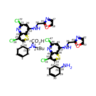 CC(C)(C)N(C(=O)O)[C@H]1CC=CC[C@@H]1c1sc2c(NCc3ncco3)cc(Cl)nc2c1Cl.N[C@H]1CC=CC[C@@H]1c1sc2c(NCc3ncco3)cc(Cl)nc2c1Cl